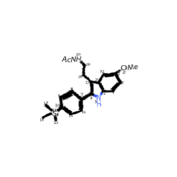 COc1ccc2[nH]c(-c3ccc([Si](C)(C)C)cc3)c(CCNC(C)=O)c2c1